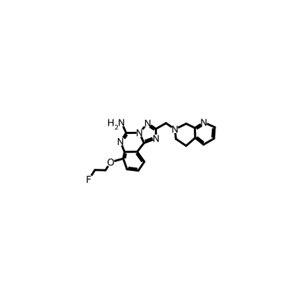 Nc1nc2c(OCCF)cccc2c2nc(CN3CCc4cccnc4C3)nn12